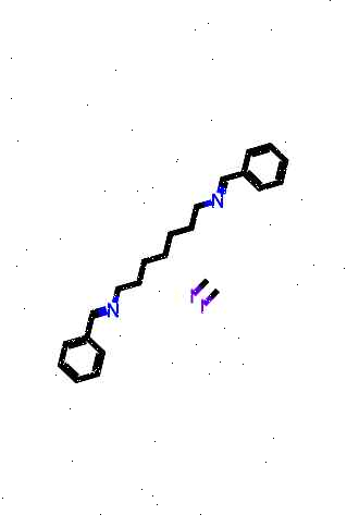 C(=NCCCCCCCN=Cc1ccccc1)c1ccccc1.CI.CI